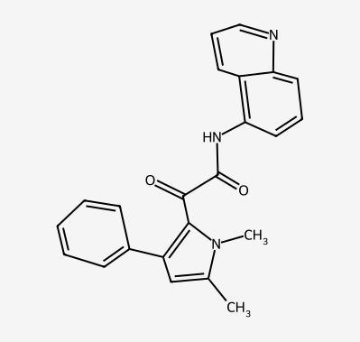 Cc1cc(-c2ccccc2)c(C(=O)C(=O)Nc2cccc3ncccc23)n1C